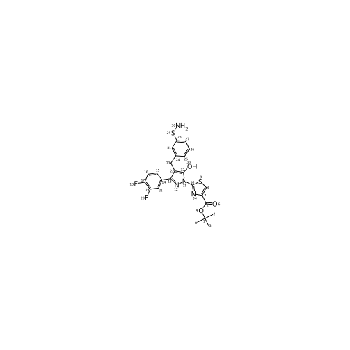 CC(C)(C)OC(=O)c1csc(-n2nc(-c3ccc(F)c(F)c3)c(Cc3cccc(SN)c3)c2O)n1